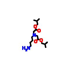 CC(C)COC(=O)CN(CCCCN)CC(=O)OCC(C)C